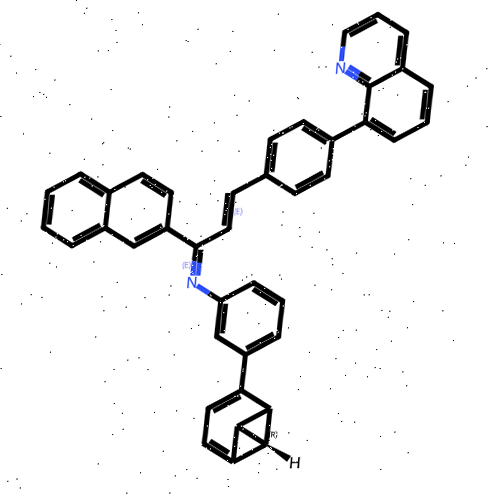 C1=C(c2cccc(/N=C(\C=C\c3ccc(-c4cccc5cccnc45)cc3)c3ccc4ccccc4c3)c2)C2C3C(=C1)[C@@H]23